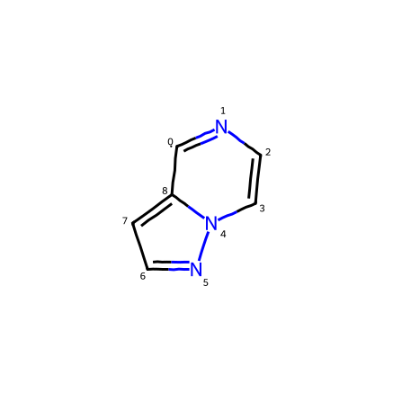 [c]1nccn2nccc12